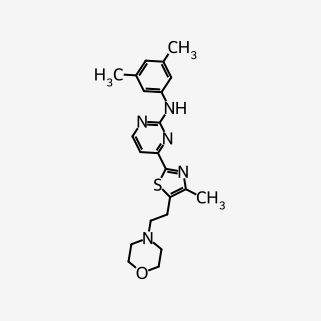 Cc1cc(C)cc(Nc2nccc(-c3nc(C)c(CCN4CCOCC4)s3)n2)c1